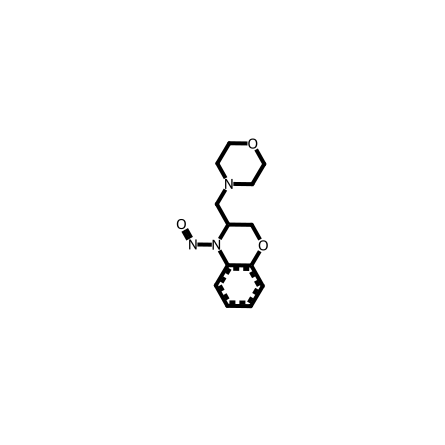 O=NN1c2ccccc2OCC1CN1CCOCC1